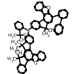 CC(C)(C)c1ccccc1N(c1ccc2c(c1)C(C)(C)c1cc(-c3ccccc3-c3ccccc3)c3oc4ccccc4c3c1-2)c1ccc2c(c1)C(C)(C)c1c3c(c4oc5ccccc5c4c1-2)-c1ccccc1C3(C)C